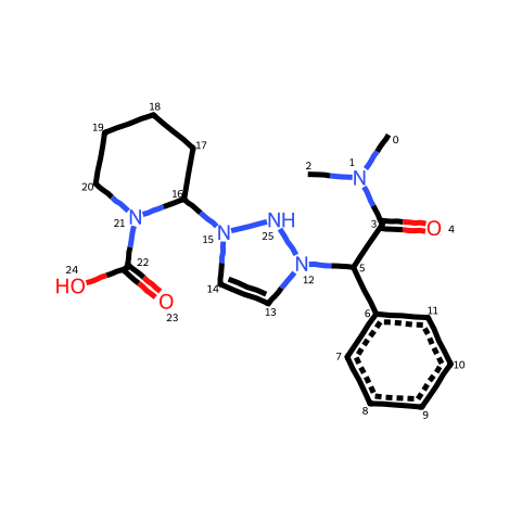 CN(C)C(=O)C(c1ccccc1)N1C=CN(C2CCCCN2C(=O)O)N1